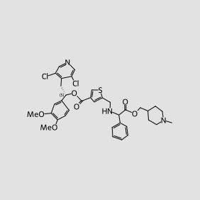 COc1ccc([C@H](Cc2c(Cl)cncc2Cl)OC(=O)c2csc(CNC(C(=O)OCC3CCN(C)CC3)c3ccccc3)c2)cc1OC